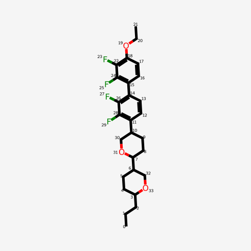 CCCC1CCC(C2CCC(c3ccc(-c4ccc(OCC)c(F)c4F)c(F)c3F)CO2)CO1